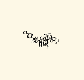 C[C@H](Nc1nc(F)cc(N2C(=O)OCC2(C)C)n1)c1nc(-c2ccc(Cl)cc2)no1